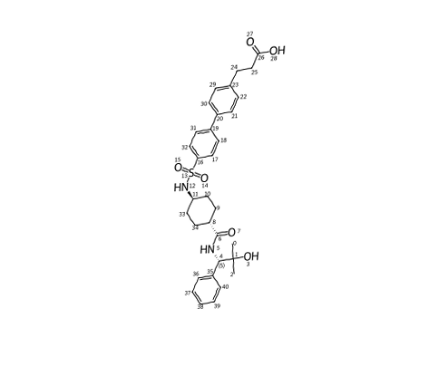 CC(C)(O)[C@@H](NC(=O)[C@H]1CC[C@H](NS(=O)(=O)c2ccc(-c3ccc(CCC(=O)O)cc3)cc2)CC1)c1ccccc1